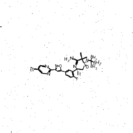 BC(B)(B)N=S1(=O)C[C@@](CC)(c2cc(-c3cc(-c4ncc(CC)cn4)no3)ccc2F)N=C(N)C1(C)C